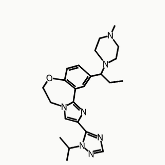 CCC(c1ccc2c(c1)-c1nc(-c3ncnn3C(C)C)cn1CCO2)N1CCN(C)CC1